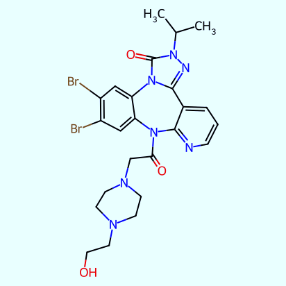 CC(C)n1nc2n(c1=O)-c1cc(Br)c(Br)cc1N(C(=O)CN1CCN(CCO)CC1)c1ncccc1-2